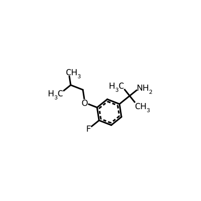 CC(C)COc1cc(C(C)(C)N)ccc1F